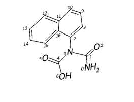 NC(=O)N(C(=O)O)c1cccc2ccccc12